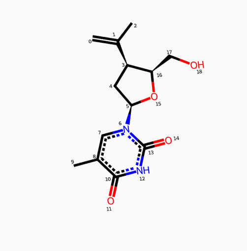 C=C(C)[C@@H]1C[C@H](n2cc(C)c(=O)[nH]c2=O)O[C@@H]1CO